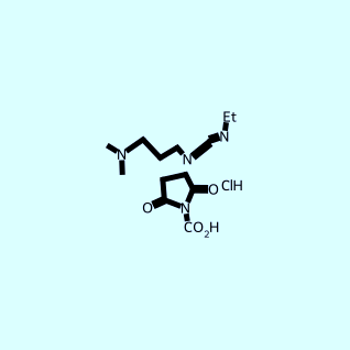 CCN=C=NCCCN(C)C.Cl.O=C(O)N1C(=O)CCC1=O